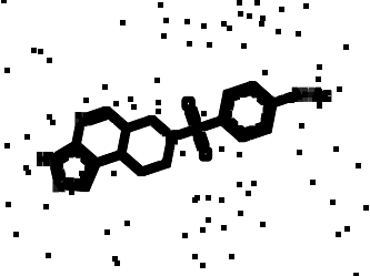 CC(=O)Nc1ccc(S(=O)(=O)N2CCC3c4cn[nH]c4N=CC3C2)cc1